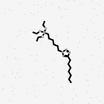 CCCCCCCc1nnn(CCCCCC[Si](OCC)(OCC)OCC)n1